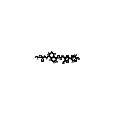 CCOC(=O)CCC1=CCCc2c(OCCc3nc(-c4cnc(C)cn4)oc3C)cccc21